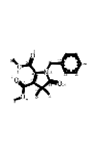 COC(=O)C1=C(C(=O)OC)C(C)(C)C(=O)N1Cc1ccccc1